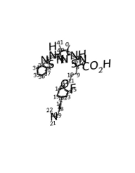 Cc1c(Nc2nc(C(=O)O)c(CCCOc3ccc(C#CCN(C)C)cc3F)s2)nnc(Nc2nc3ccccc3s2)c1C